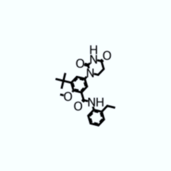 CCc1ccccc1NC(=O)c1cc(N2CCC(=O)NC2=O)cc(C(C)(C)C)c1OC